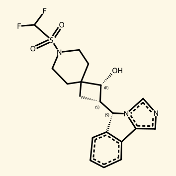 O=S(=O)(C(F)F)N1CCC2(CC1)C[C@@H]([C@H]1c3ccccc3-c3cncn31)[C@H]2O